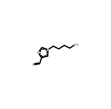 CCCCCn1cnc(C=O)c1